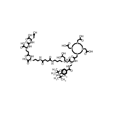 C#CC[C@H](NC(=O)N[C@@H](CCC(=O)N[C@H](CCCNC(=O)CCC(=O)NCCCC[C@H](CC(O)O)NC(=O)[C@@H](CNC(=O)c1ccc([Si](F)(C(C)(C)C)C(C)(C)C)cc1)NC(=O)CN1CCN(CC(=O)O)CCN(CC(=O)O)CCN(CC(=O)O)CC1)C(=O)O)C(=O)O)C(=O)O